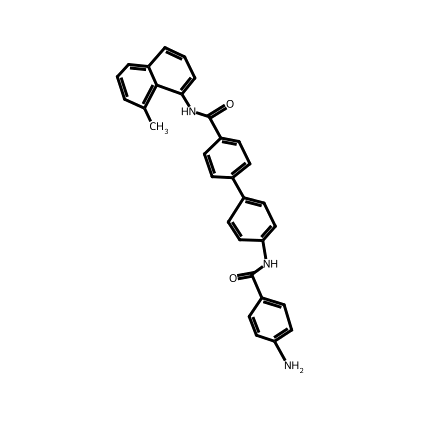 Cc1cccc2cccc(NC(=O)c3ccc(-c4ccc(NC(=O)c5ccc(N)cc5)cc4)cc3)c12